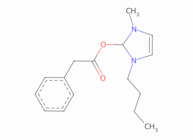 CCCCN1C=CN(C)C1OC(=O)Cc1ccccc1